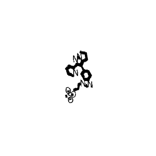 CS(=O)(=O)OCCCn1cnc2ccc(-c3c(-c4ccccn4)nn4c3CCC4)cc21